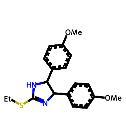 CCSC1=NC(c2ccc(OC)cc2)C(c2ccc(OC)cc2)N1